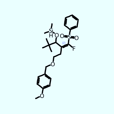 COc1ccc(COCC/C(=C(\F)S(=O)(=O)c2ccccc2)C(O[SiH](C)C)C(C)(C)C)cc1